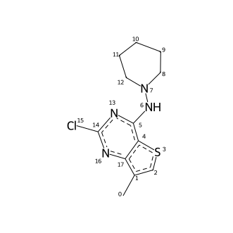 Cc1csc2c(NN3CCCCC3)nc(Cl)nc12